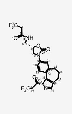 O=C(CC(F)(F)F)NC[C@H]1CN(c2ccc3c(c2)CCCc2cnn(C(=O)CC(F)(F)F)c2-3)C(=O)O1